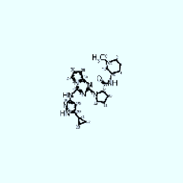 CN1CCC[C@@H](NC(=O)[C@@H]2CCCN2c2nc(Nc3cc(C4CC4)[nH]n3)n3cccc3n2)C1